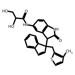 Cc1ccsc1CC1(C2C(=O)Nc3ccc(NC(=O)C(O)CO)cc32)C=Cc2ccccc21